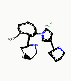 COc1cccc(-n2ccc(-c3ccccn3)c2)c1C1=C[C+]=CCN1.Cl.[Cl-]